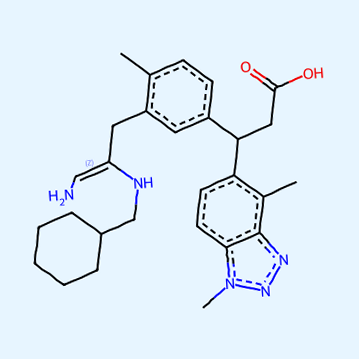 Cc1ccc(C(CC(=O)O)c2ccc3c(nnn3C)c2C)cc1C/C(=C/N)NCC1CCCCC1